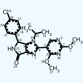 COc1ncc(-c2nc3c(n2C(C)C)C(c2ccc(Cl)cc2)NC3=O)c(OC)n1